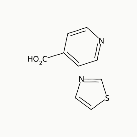 O=C(O)c1ccncc1.c1cscn1